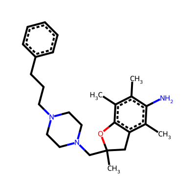 Cc1c(C)c2c(c(C)c1N)CC(C)(CN1CCN(CCCc3ccccc3)CC1)O2